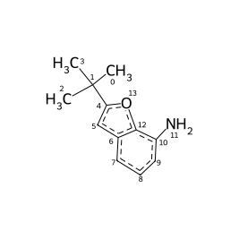 CC(C)(C)c1cc2cccc(N)c2o1